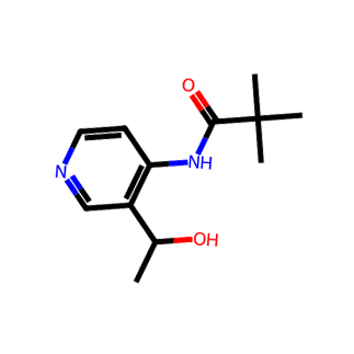 CC(O)c1cnccc1NC(=O)C(C)(C)C